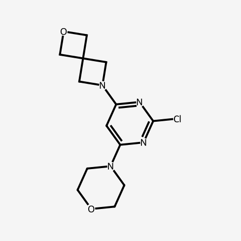 Clc1nc(N2CCOCC2)cc(N2CC3(COC3)C2)n1